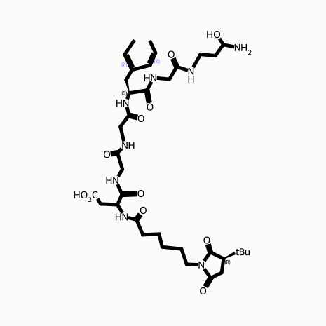 C/C=C\C(=C/C)C[C@H](NC(=O)CNC(=O)CNC(=O)C(CC(=O)O)NC(=O)CCCCCN1C(=O)C[C@H](C(C)(C)C)C1=O)C(=O)NCC(=O)NCCC(N)O